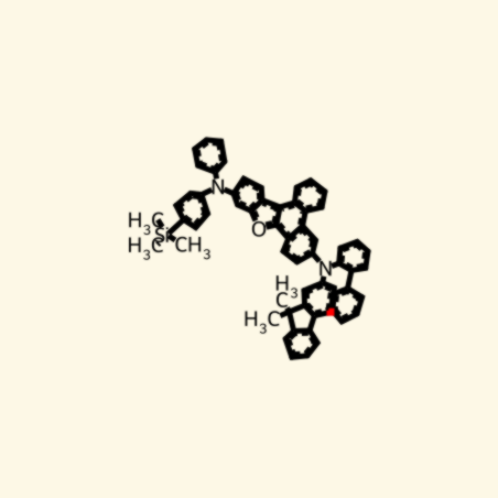 CC1(C)c2ccccc2-c2ccc(N(c3ccc4c(c3)c3ccccc3c3c5ccc(N(c6ccccc6)c6ccc([Si](C)(C)C)cc6)cc5oc43)c3ccccc3-c3ccccc3)cc21